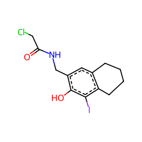 O=C(CCl)NCc1cc2c(c(I)c1O)CCCC2